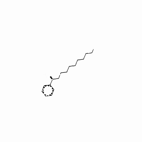 C=C(CCCCCCCCCC)c1ccccc1